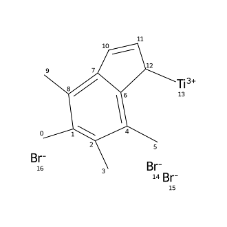 Cc1c(C)c(C)c2c(c1C)C=C[CH]2[Ti+3].[Br-].[Br-].[Br-]